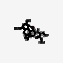 COc1cc(O)c2c3c1C[C@@H]1[C@@H]4CC[C@@H](N[C@@H](CC(C)C)C(=O)OC(C)(C)C)[C@H](O2)[C@]34CCN1C